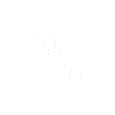 Sc1ccc2cc(OCc3ccccc3)ccc2n1